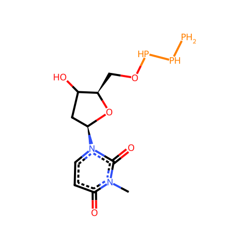 Cn1c(=O)ccn([C@H]2CC(O)[C@@H](COPPP)O2)c1=O